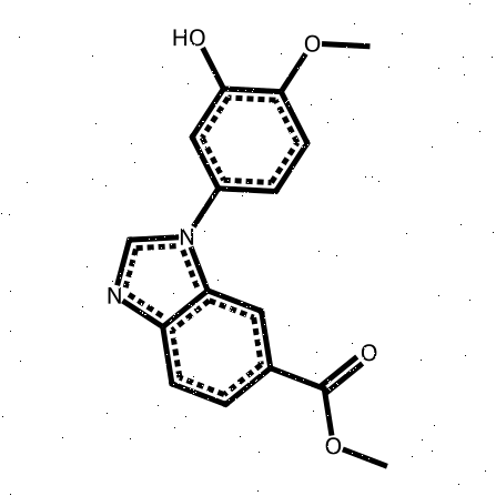 COC(=O)c1ccc2ncn(-c3ccc(OC)c(O)c3)c2c1